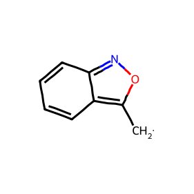 [CH2]c1onc2ccccc12